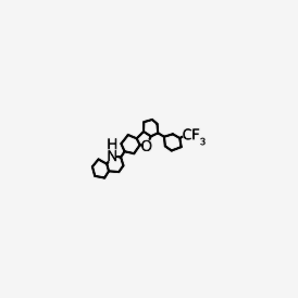 FC(F)(F)C1CCCC(C2CCCC3C4CCC(C5CCC6CCCCC6N5)CC4OC23)C1